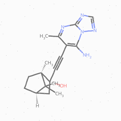 Cc1nc2ncnn2c(N)c1C#C[C@@]1(O)C[C@H]2CC[C@]1(C)C2(C)C